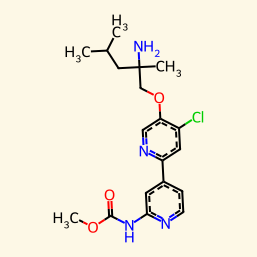 COC(=O)Nc1cc(-c2cc(Cl)c(OCC(C)(N)CC(C)C)cn2)ccn1